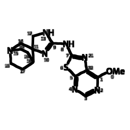 COc1ncnc2sc(NC3=NC4(CN3)CN3CCC4CC3)nc12